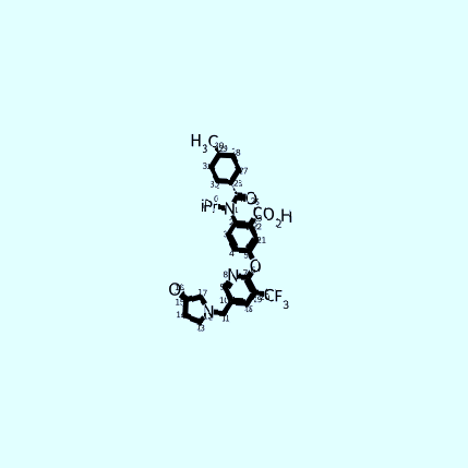 CC(C)N(c1ccc(Oc2ncc(CN3CCC(=O)C3)cc2C(F)(F)F)cc1C(=O)O)C(=O)[C@H]1CC[C@H](C)CC1